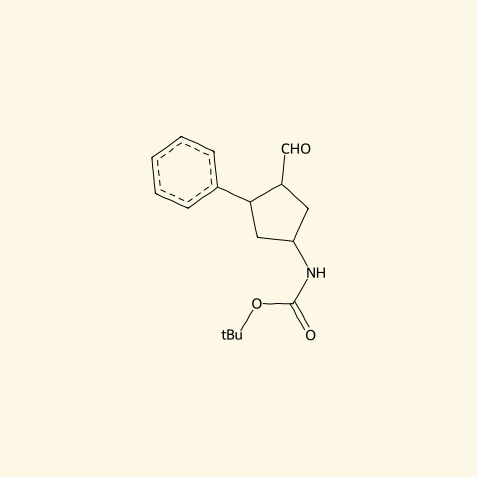 CC(C)(C)OC(=O)NC1CC(C=O)C(c2ccccc2)C1